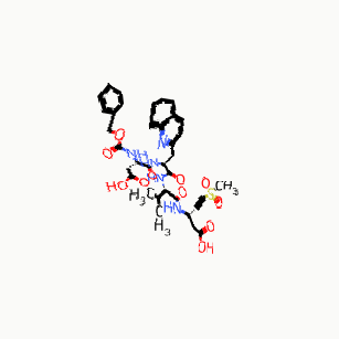 CC(C)[C@H](NC(=O)[C@H](Cc1ccc2ccccc2n1)NC(=O)[C@H](CC(=O)O)NC(=O)OCc1ccccc1)C(=O)N[C@H](C#CS(C)(=O)=O)CC(=O)O